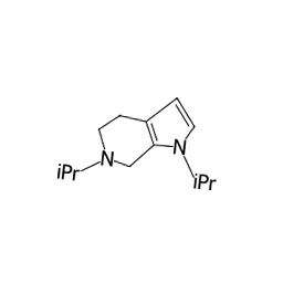 CC(C)N1CCc2ccn(C(C)C)c2C1